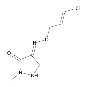 CN1NCC(=NOCC=CCl)C1=O